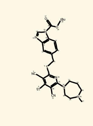 CCc1c(C#N)c(SCc2ccc3c(c2)ncn3C(=O)OC(C)(C)C)nc(N2CCCN(C)CC2)c1C#N